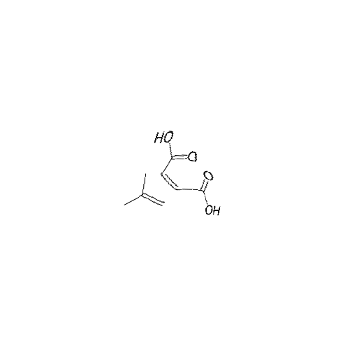 C=C(C)C.O=C(O)/C=C\C(=O)O